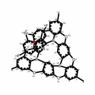 Cc1cc2c3c(c1)Oc1cc4c(cc1B3c1cc3c(cc1O2)Oc1cc(C)cc2c1B3c1sc3cc(F)cc(F)c3c1O2)B1c2sc3cc(F)cc(F)c3c2Oc2cc(C)cc(c21)O4